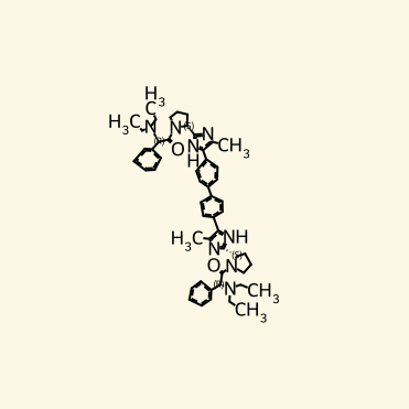 CCN(CC)[C@@H](C(=O)N1CCC[C@H]1c1nc(C)c(-c2ccc(-c3ccc(-c4[nH]c([C@@H]5CCCN5C(=O)[C@@H](c5ccccc5)N(CC)CC)nc4C)cc3)cc2)[nH]1)c1ccccc1